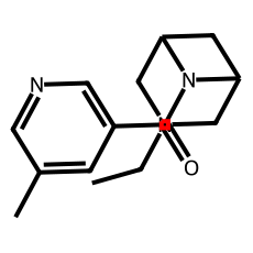 CCN1CC2CC(C1)N2C(=O)c1cncc(C)c1